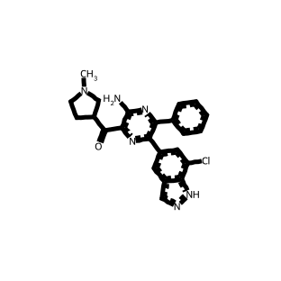 CN1CCC(C(=O)c2nc(-c3cc(Cl)c4[nH]ncc4c3)c(-c3ccccc3)nc2N)C1